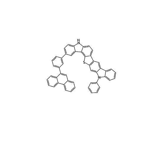 c1ccc(-n2c3ccccc3c3cc4c(cc32)sc2c4ccc3[nH]c4ccc(-c5cccc(-c6cc7ccccc7c7ccccc67)c5)cc4c32)cc1